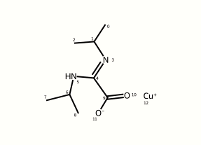 CC(C)N=C(NC(C)C)C(=O)[O-].[Cu+]